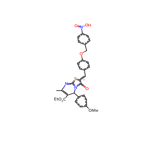 CCOC(=O)C1=C(C)N=c2s/c(=C\c3ccc(OCc4ccc([N+](=O)O)cc4)cc3)c(=O)n2C1c1ccc(OC)cc1